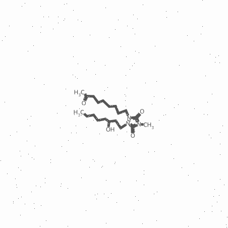 CCCCCC(O)CCn1c(=O)n(C)c(=O)n1CCCCCCCC(C)=O